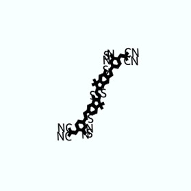 CC1(C)c2cc3sc(-c4ccc(C=C(C#N)C#N)c5nsnc45)cc3cc2-c2sc3c4c(sc3c21)-c1cc2cc(-c3ccc(C=C(C#N)C#N)c5nsnc35)sc2cc1C4(C)C